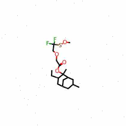 CCC1CC2CC(C)CC(C2)C1(C)OC(=O)COCC(F)(F)SOC